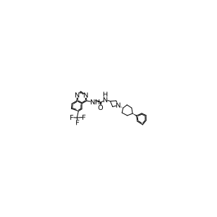 O=C(CNc1ncnc2ccc(C(F)(F)F)cc12)NC1CN([C@H]2CC[C@H](c3ccccc3)CC2)C1